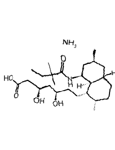 CCC(C)(C)C(=O)N[C@H]1C[C@@H](C)C[C@@H]2CC[C@H](C)[C@H](CC[C@@H](O)C[C@@H](O)CC(=O)O)[C@H]21.N